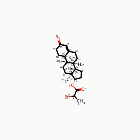 CC(Br)C(=O)O[C@H]1CC[C@H]2[C@@H]3CCC4=CC(=O)CC[C@]4(C)[C@H]3CC[C@]12C